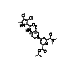 Cc1[nH]c(C(=O)N[C@@H]2CCN(c3cc(C(=O)OC(C)C)nc(C(=O)N(C)C)c3)C[C@@H]2F)c(Cl)c1Cl